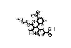 C=C(CC1=C(C)NC(C)=C(C(=O)OCCOC)C1c1cccc([N+](=O)[O-])c1)C(=O)O